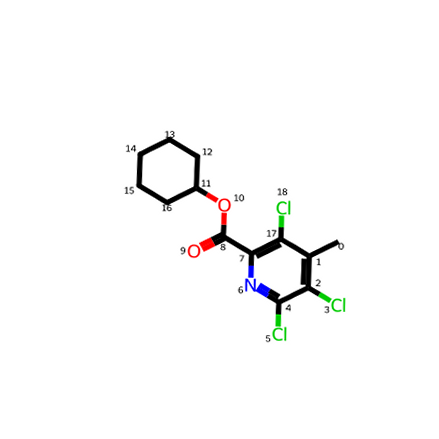 Cc1c(Cl)c(Cl)nc(C(=O)OC2CCCCC2)c1Cl